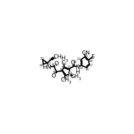 C#CC1(NC(=O)C(=O)c2c(C)c(C(=O)Nc3ccc(F)c(C#N)c3)n(C)c2C)CC1